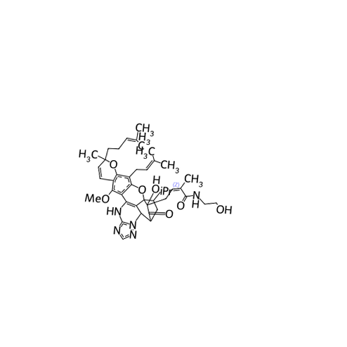 COc1c2c(c(CC=C(C)C)c3c1C1=C4C(C5CC(C(C)C)C4(O3)C(O)(C/C=C(/C)C(=O)NCCO)C5=O)n3ncnc3N1)OC(C)(CCC=C(C)C)C=C2